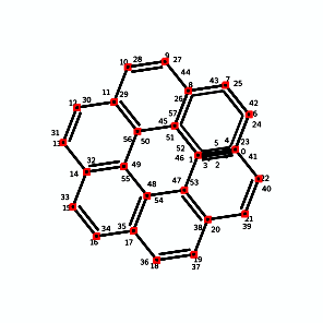 c1ccc2c(c1)ccc1ccc3ccc4ccc5ccc6ccc7ccc8ccc9ccc%10ccc%11ccc%12ccc%13ccccc%13c%12c%11c%10c9c8c7c6c5c4c3c12